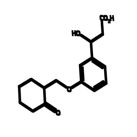 O=C(O)CC(O)c1cccc(OCC2CCCCC2=O)c1